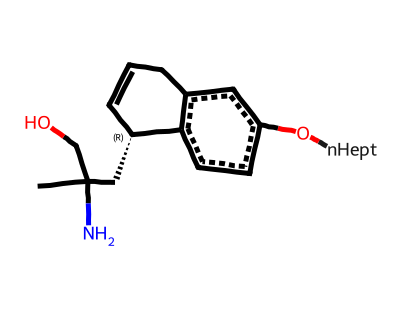 CCCCCCCOc1ccc2c(c1)CC=C[C@H]2CC(C)(N)CO